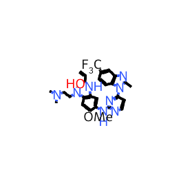 C=CC(O)Nc1cc(Nc2nccc(-n3c(C)nc4cc(C(F)(F)F)ccc43)n2)c(OC)cc1N(C)CCN(C)C